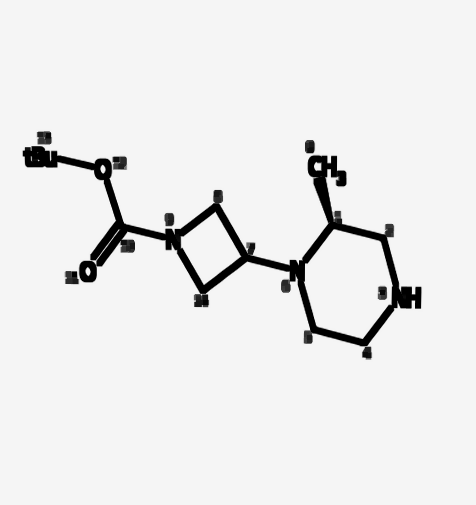 C[C@H]1CNCCN1C1CN(C(=O)OC(C)(C)C)C1